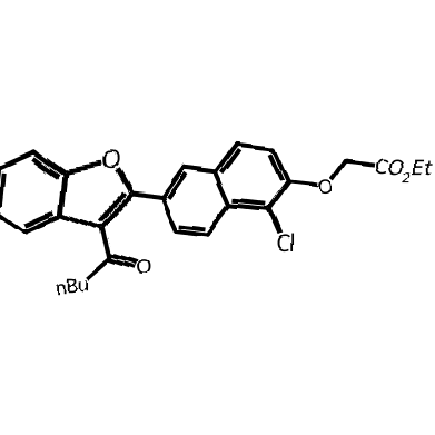 CCCCC(=O)c1c(-c2ccc3c(Cl)c(OCC(=O)OCC)ccc3c2)oc2ccccc12